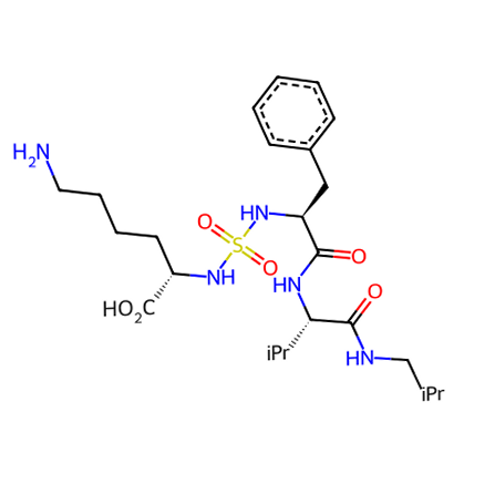 CC(C)CNC(=O)[C@@H](NC(=O)[C@H](Cc1ccccc1)NS(=O)(=O)N[C@@H](CCCCN)C(=O)O)C(C)C